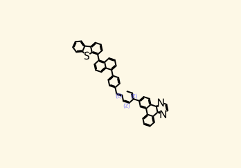 C\C=C(/C=C\C=C\c1ccc(-c2cccc3c(-c4cccc5c4sc4ccccc45)cccc23)cc1)c1ccc2c(c1)c1ccccc1c1nccnc21